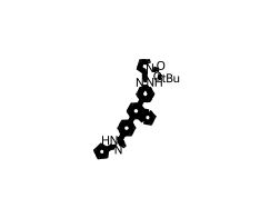 CC(C)(C)OC(=O)N1CCCC1c1nc2cc(-c3ccc(-c4ccc(-c5cnc(C6CCCC6)[nH]5)cc4)c4c3C3CCC4C3)ccc2[nH]1